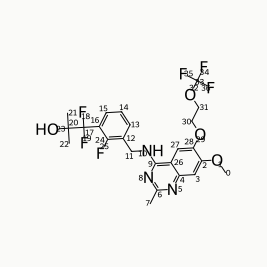 COc1cc2nc(C)nc(NCc3cccc(C(F)(F)C(C)(C)O)c3F)c2cc1OCCOC(F)(F)F